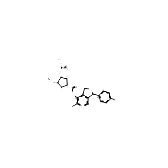 CO[C@@H]1C[C@@H](C(=O)Oc2c(C)ncc3c2COC3c2ccc(Cl)cc2)C[C@H]1O[N+](=O)[O-]